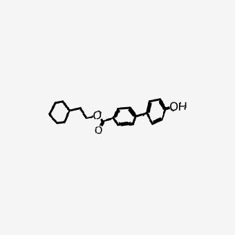 O=C(OCCC1CCCCC1)c1ccc(-c2ccc(O)cc2)cc1